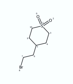 O=S1(=O)CCC(CCBr)CC1